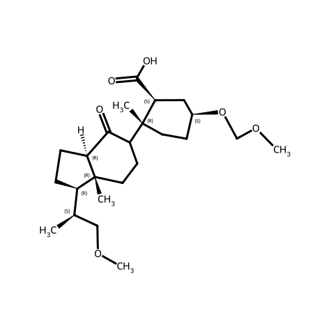 COCO[C@H]1CC[C@](C)(C2CC[C@]3(C)[C@@H]([C@H](C)COC)CC[C@H]3C2=O)[C@@H](C(=O)O)C1